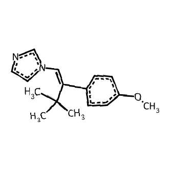 COc1ccc(/C(=C/n2ccnc2)C(C)(C)C)cc1